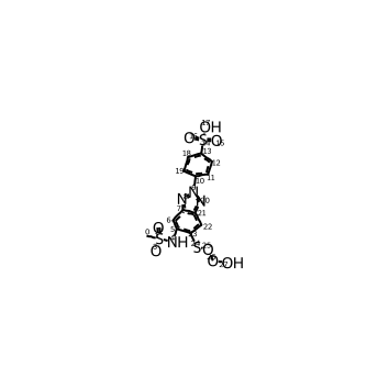 CS(=O)(=O)Nc1cc2nn(-c3ccc(S(=O)(=O)O)cc3)nc2cc1SOOO